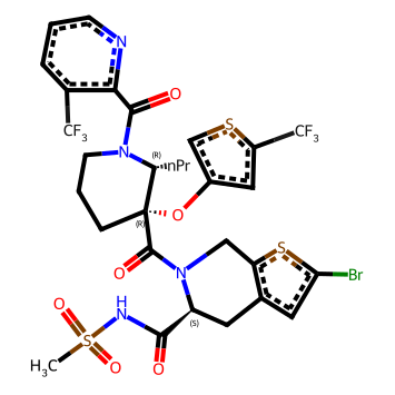 CCC[C@H]1N(C(=O)c2ncccc2C(F)(F)F)CCC[C@]1(Oc1csc(C(F)(F)F)c1)C(=O)N1Cc2sc(Br)cc2C[C@H]1C(=O)NS(C)(=O)=O